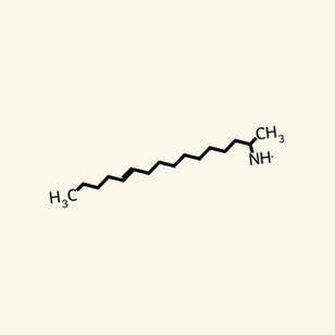 CCCCC=CCCCCCCCCC(C)[NH]